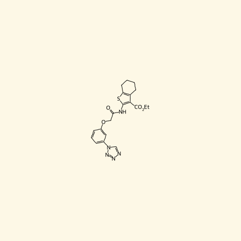 CCOC(=O)c1c(NC(=O)COc2cccc(-n3cnnn3)c2)sc2c1CCCC2